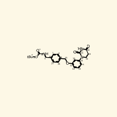 CC(C)(C)OC(=O)NCc1ccc(COc2cccc(N3CCC(=O)NC3=O)c2)cc1